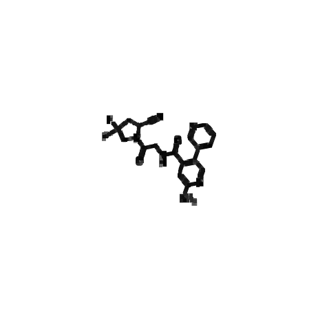 N#CC1CC(F)(F)CN1C(=O)CNC(=O)c1cc(N)ncc1-c1cccnc1